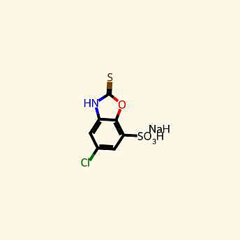 O=S(=O)(O)c1cc(Cl)cc2[nH]c(=S)oc12.[NaH]